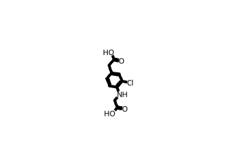 O=C(O)CNc1ccc(CC(=O)O)cc1Cl